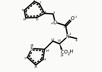 CN(C(=O)OCc1ccccc1)[C@H](Cc1cccs1)C(=O)O